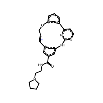 O=C(NCCN1CCCC1)c1cc2cc(c1)Nc1nccc(n1)-c1cccc(c1)OC/C=C/2